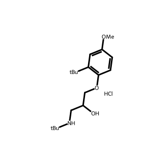 COc1ccc(OCC(O)CNC(C)(C)C)c(C(C)(C)C)c1.Cl